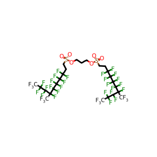 O=S(=O)(CCC(F)(F)C(F)(F)C(F)(F)C(F)(F)C(F)(C(F)(F)F)C(F)(F)C(F)(F)C(F)(F)F)OCCCOS(=O)(=O)CCC(F)(F)C(F)(F)C(F)(F)C(F)(F)C(F)(C(F)(F)F)C(F)(F)C(F)(F)C(F)(F)F